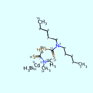 CCCCCN(CCCCC)C(=S)S.CN(C)C(=S)S.[BiH3].[Cd]